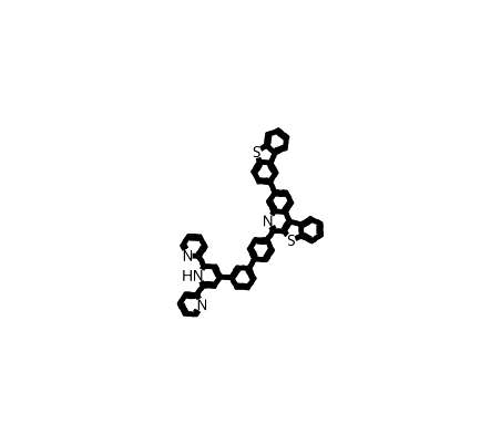 C1=C(c2cccc(-c3ccc(-c4nc5cc(-c6ccc7sc8ccccc8c7c6)ccc5c5c4sc4ccccc45)cc3)c2)C=C(c2ccccn2)NC1c1ccccn1